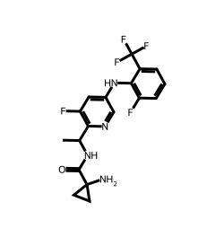 CC(NC(=O)C1(N)CC1)c1ncc(Nc2c(F)cccc2C(F)(F)F)cc1F